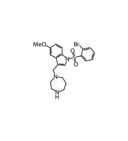 COc1ccc2c(c1)c(CN1CCCNCC1)cn2S(=O)(=O)c1ccccc1Br